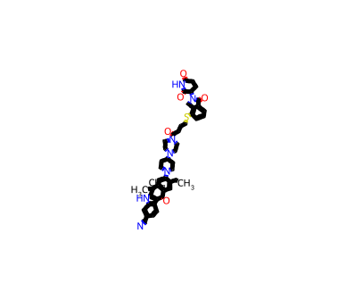 CCc1cc2c(cc1N1CCC(N3CCN(C(=O)CCCSc4cccc5c4CN(C4CCC(=O)NC4=O)C5=O)CC3)CC1)C(C)(C)c1[nH]c3cc(C#N)ccc3c1C2=O